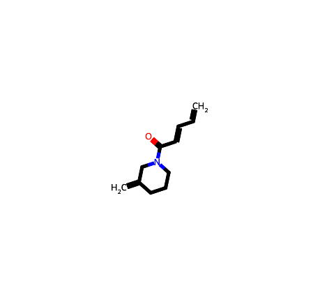 C=C/C=C/C(=O)N1CCCC(=C)C1